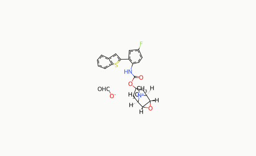 C[N+]1(C)[C@@H]2CC(OC(=O)Nc3ccc(F)cc3-c3cc4ccccc4s3)C[C@H]1[C@@H]1O[C@@H]12.O=C[O-]